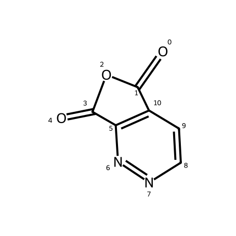 O=C1OC(=O)c2nnccc21